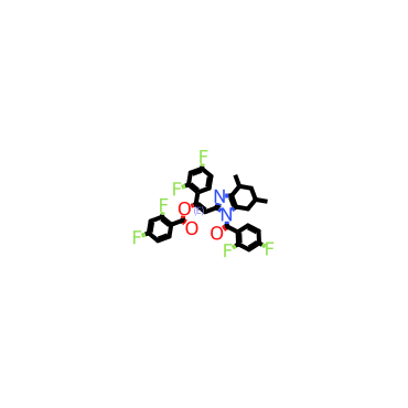 CC1Cc2c(nc(/C=C(/OC(=O)c3ccc(F)cc3F)c3ccc(F)cc3F)n2C(=O)c2ccc(F)cc2F)C(C)C1